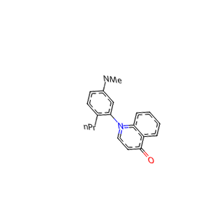 CCCc1ccc(NC)cc1-n1ccc(=O)c2ccccc21